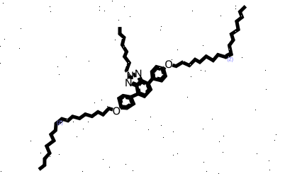 CCCCCCCC/C=C\CCCCCCCCOc1ccc(-c2ccc(-c3ccc(OCCCCCCCC/C=C\CCCCCCCC)cc3)c3nn(CCCCCCCC)nc23)cc1